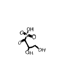 O=C(C(O)CO)S(=O)(=O)O